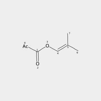 CC(=O)C(=O)OC=C(C)C